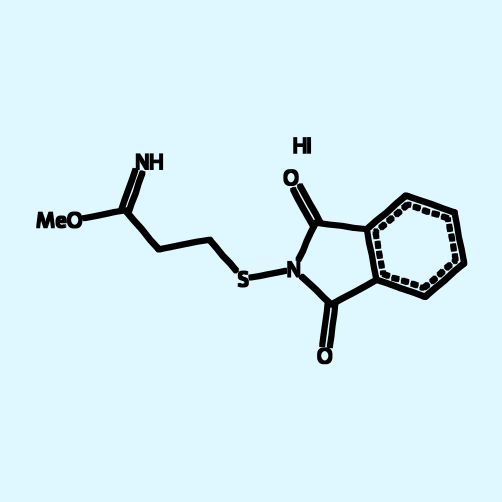 COC(=N)CCSN1C(=O)c2ccccc2C1=O.I